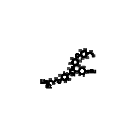 CCCCC1CCC(c2nc(-c3ccc(OCCCN(CC)CC)cc3)cn2-c2ccc(Oc3ccc(CI)cc3)cc2)CC1